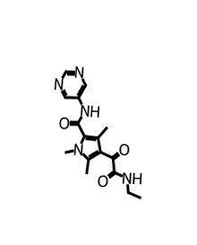 CCNC(=O)C(=O)c1c(C)c(C(=O)Nc2cncnc2)n(C)c1C